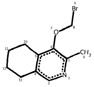 Cc1ncc2c(c1OCBr)CCCC2